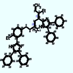 C=C/C(CC)=C(\C=C(/C)CCc1ccc(CC)c(-c2nc(-c3ccccc3)c(-c3ccccc3)[nH]2)c1)c1nc(-c2ccccc2)c(-c2ccccc2)[nH]1